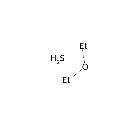 CCOCC.S